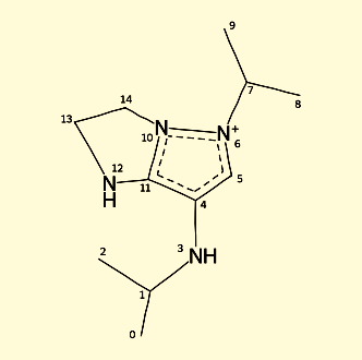 CC(C)Nc1c[n+](C(C)C)n2c1NCC2